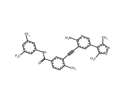 Cc1ccc(C(=O)Nc2cc(C(F)(F)F)cc(C(F)(F)F)c2)cc1C#Cc1cc(-c2c(C)noc2C)cnc1N